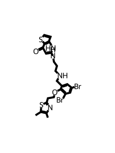 Cc1nc(CCOc2c(Br)cc(Br)cc2CNCCCNc2cc(=O)c3sccc3[nH]2)sc1C